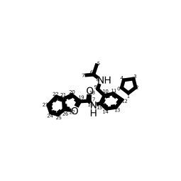 C1CCCC1.CC(C)NCc1ccccc1NC(=O)c1cc2ccccc2o1